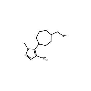 C[C](C)CC1CCCN(c2c([N+](=O)[O-])cnn2C)CC1